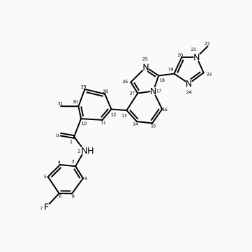 C=C(Nc1ccc(F)cc1)c1cc(-c2cccn3c(-c4cn(C)cn4)ncc23)ccc1C